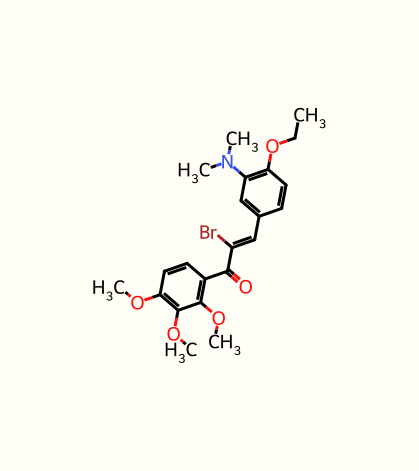 CCOc1ccc(C=C(Br)C(=O)c2ccc(OC)c(OC)c2OC)cc1N(C)C